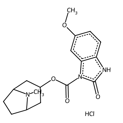 COc1ccc2[nH]c(=O)n(C(=O)OC3CC4CCC(C3)N4C)c2c1.Cl